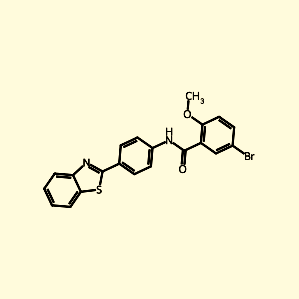 COc1ccc(Br)cc1C(=O)Nc1ccc(-c2nc3ccccc3s2)cc1